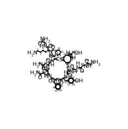 NCCCC[C@H](NC(=O)[C@@H]1CCCN1C(=O)[C@@H]1CSC2CC[C@@H]3[C@@H](CO)[C@@H]3CCC2SC[C@H](NC(=O)CNC(=O)CNC(=O)CN)C(=O)N[C@@H](Cc2ccc(O)cc2)C(=O)N[C@@H](Cc2ccccc2)C(=O)N[C@@H](CCC(N)=O)C(=O)N[C@@H](CC(N)=O)C(=O)N1)C(=O)NCC(N)=O